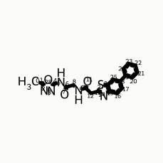 Cc1nnc(NC(=O)CNC(=O)Cc2nc3ccc(-c4ccccc4)cc3s2)o1